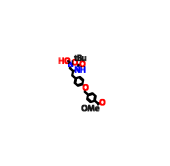 COC(=O)c1ccc(COc2ccc(CC(C=NO)NC(=O)OC(C)(C)C)cc2)cc1